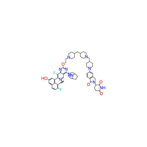 C#Cc1c(F)ccc2cc(O)cc(-c3ncc4c(N5CC6CCC(C5)N6)nc(OCCN5CCC(CC6CCN(CC7CCN(c8ccc9c(c8)CN([C@@H]8CCC(=O)NC8=O)C9=O)CC7)CC6)CC5)nc4c3F)c12